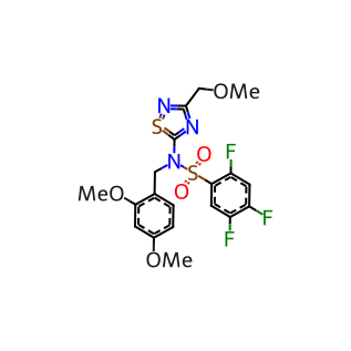 COCc1nsc(N(Cc2ccc(OC)cc2OC)S(=O)(=O)c2cc(F)c(F)cc2F)n1